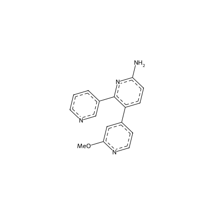 COc1cc(-c2ccc(N)nc2-c2cccnc2)ccn1